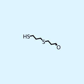 O=CCCSCCCS